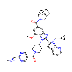 C/N=C/c1ncc(C(=O)N2CCC(n3c(-c4cc5cccnc5n4CC4CC4)nc4cc(C(=O)N5CC6CC7CC5[C@H]76)cc(OC)c43)CC2)cn1